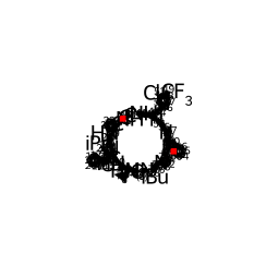 CC[C@H](C)[C@H]1CN[C@@H](C2CC2)C(C)NCC2[C@@H](C(=O)N3CCCCC3)C(C)N2[C@@H](C(C)C)C(C)NC2(CCCC2)CNCCNC=CC(CCc2ccc(C(F)(F)F)c(Cl)c2)=NC=CN(C)C=C(CC2CCCCC2)N(C)C=C2CCCN2[C@@H](C)C(C)N1